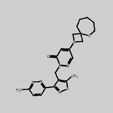 Cc1ccc(-c2noc(C)c2Cn2ncc(N3CC4(CCCCCO4)C3)cc2=O)nn1